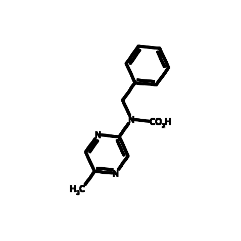 Cc1cnc(N(Cc2ccccc2)C(=O)O)cn1